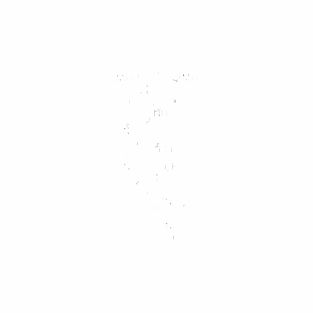 C=C(Nc1ccc(CN2CCN(CC)CC2)c(C(F)(F)F)c1)/C(C)=C(\N=C/C)C(=C\CCCC)/ONc1c(Cl)c(OC)cc(OC)c1Cl